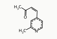 CC(=O)/C=C\c1ccnc(C)c1